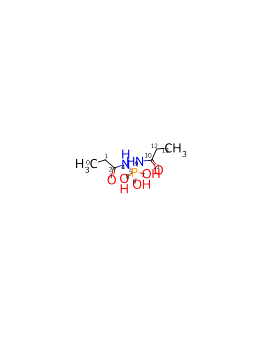 CCC(=O)NP(O)(O)(O)NC(=O)CC